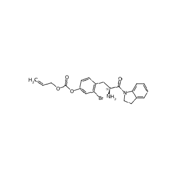 C=CCOC(=O)Oc1ccc(C[C@H](N)C(=O)N2CCc3ccccc32)c(Br)c1